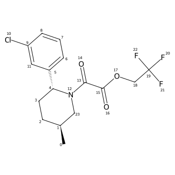 C[C@H]1CC[C@H](c2cccc(Cl)c2)N(C(=O)C(=O)OCC(F)(F)F)C1